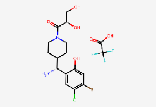 N[C@@H](c1cc(Cl)c(Br)cc1O)C1CCN(C(=O)[C@H](O)CO)CC1.O=C(O)C(F)(F)F